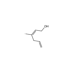 [CH2]C(=CCO)CC=C